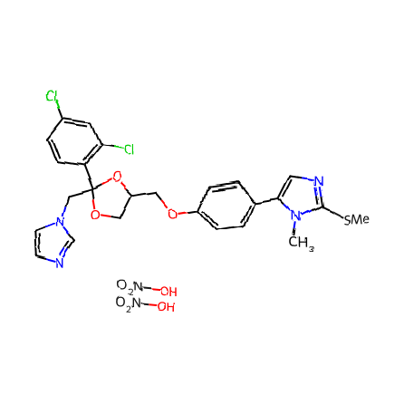 CSc1ncc(-c2ccc(OCC3COC(Cn4ccnc4)(c4ccc(Cl)cc4Cl)O3)cc2)n1C.O=[N+]([O-])O.O=[N+]([O-])O